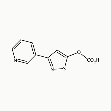 O=C(O)Oc1cc(-c2cccnc2)ns1